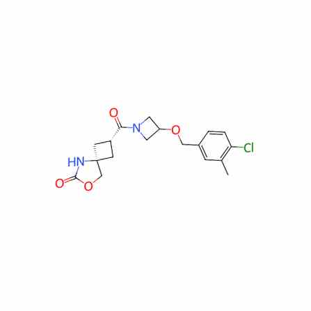 Cc1cc(COC2CN(C(=O)[C@H]3C[C@@]4(COC(=O)N4)C3)C2)ccc1Cl